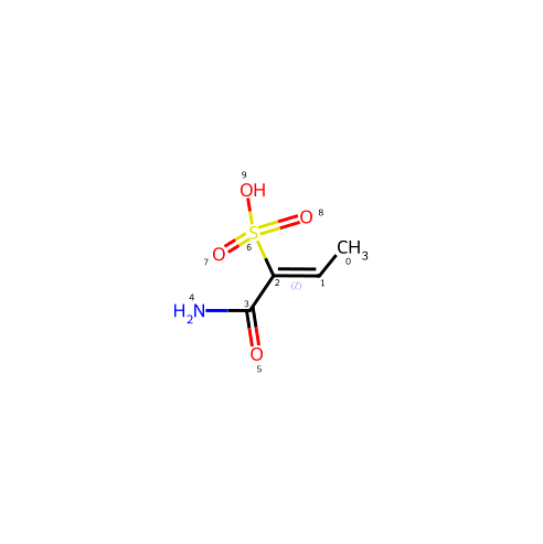 C/C=C(/C(N)=O)S(=O)(=O)O